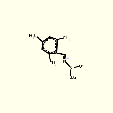 Cc1cc(C)c(/C=N/[S+]([O-])C(C)(C)C)c(C)c1